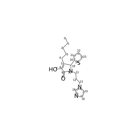 CCCCCC1=C(O)C(=O)N(CCCn2ccnc2)C1c1cccs1